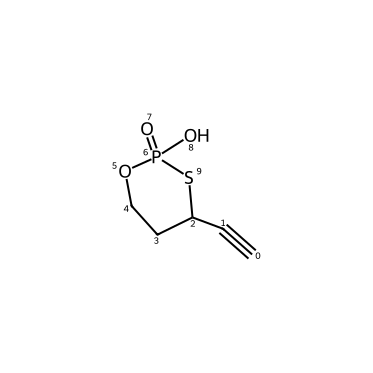 C#CC1CCOP(=O)(O)S1